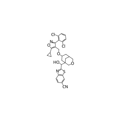 N#Cc1ccc2nc(C(O)C34COCC(CC(OCc5c(-c6c(Cl)cccc6Cl)noc5C5CC5)C3)C4)sc2c1